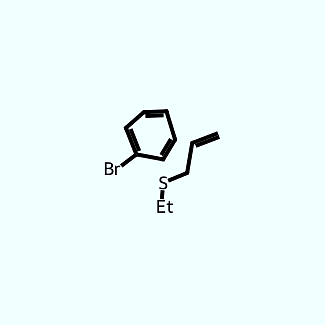 Brc1ccccc1.C=CCSCC